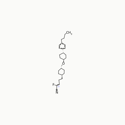 CCCCc1ccc([C@H]2CC[C@H](OC[C@H]3CC[C@H](CC/C=C(\F)C#N)CC3)CC2)cc1